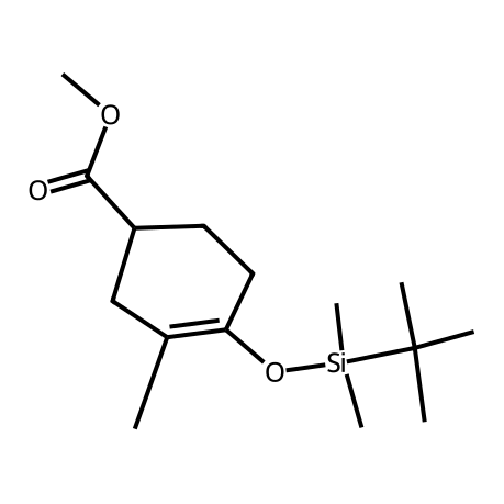 COC(=O)C1CCC(O[Si](C)(C)C(C)(C)C)=C(C)C1